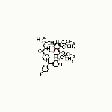 CC(C)CC(C(=O)N1CCN(C(c2ccc(F)cc2)c2ccc(F)cc2)CC1)N(Cc1ccc(OC(C)(C)C)cc1)Cc1ccc(OC(C)(C)C)cc1